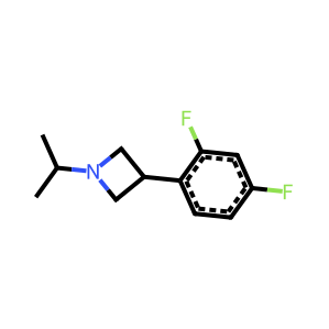 CC(C)N1CC(c2ccc(F)cc2F)C1